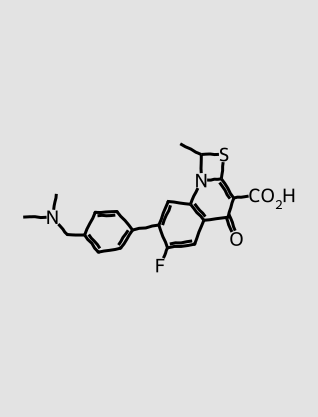 CC1Sc2c(C(=O)O)c(=O)c3cc(F)c(-c4ccc(CN(C)C)cc4)cc3n21